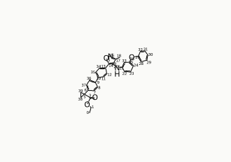 CCOC(=O)C1(c2ccc(-c3ccc(-c4onc(C)c4Nc4cccc(Oc5ccccc5)c4)cc3)cc2)CC1